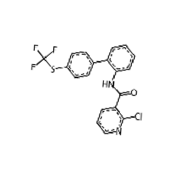 O=C(Nc1ccccc1-c1ccc(SC(F)(F)F)cc1)c1cccnc1Cl